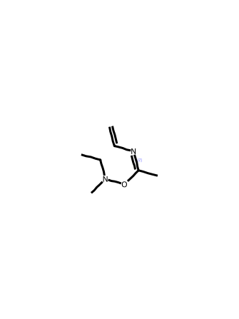 C=C/N=C(/C)ON(C)CC